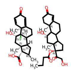 CCCC(=O)O[C@]1(C(=O)CO)CCC2C3CCC4=CC(=O)CC[C@]4(C)C3[C@@H](O)C[C@@]21C.C[C@@H]1C[C@H]2[C@@H]3CCC4=CC(=O)C=C[C@]4(C)[C@@]3(F)[C@@H](O)C[C@]2(C)[C@H]1C(=O)O